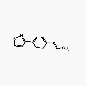 O=C(O)C=Cc1ccc(-c2ccsn2)cc1